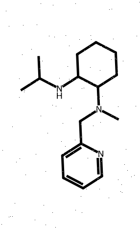 CC(C)NC1CCCCC1N(C)Cc1ccccn1